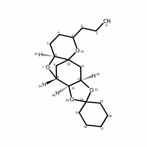 N#CCCC1CC[C@@H]2O[C@@H]3CC2(C[C@H]2OC4(CCCCC4)O[C@@H]32)O1